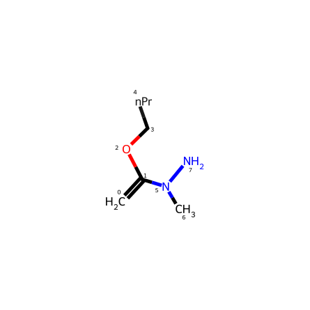 C=C(OCCCC)N(C)N